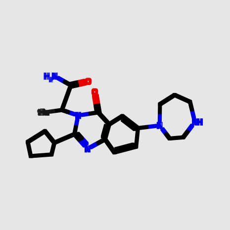 CC(C)(C)C(C(N)=O)n1c(C2CCCC2)nc2ccc(N3CCCNCC3)cc2c1=O